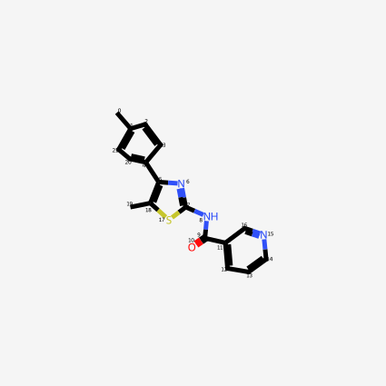 Cc1ccc(-c2nc(NC(=O)c3cccnc3)sc2C)cc1